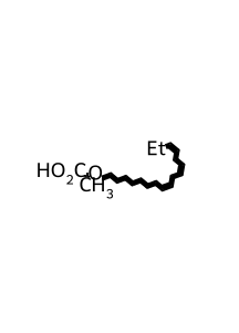 CC/C=C\C/C=C\C/C=C\CCCCCCCCOC(C)C(=O)O